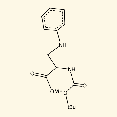 COC(=O)C(CNc1ccccc1)NC(=O)OC(C)(C)C